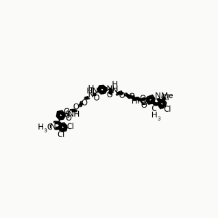 CNCc1c(Cl)cc(Cl)cc1[C@@H](C)c1cccc(S(=O)(=O)NCCOCCOCCNC(=O)Nc2ccc(NC(=O)NCCOCCOCCNS(=O)(=O)c3cccc([C@@H]4CN(C)Cc5c(Cl)cc(Cl)cc54)c3)cc2)c1